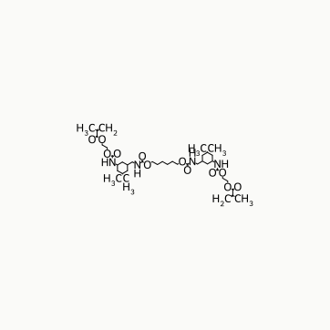 C=C(C)C(=O)OCCOC(=O)NC1CC(CNC(=O)OCCCCCCOC(=O)NCC2CC(NC(=O)OCCOC(=O)C(=C)C)CC(C)(C)C2)CC(C)(C)C1